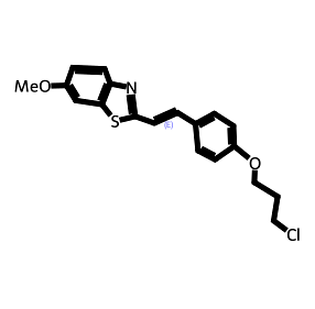 COc1ccc2nc(/C=C/c3ccc(OCCCCl)cc3)sc2c1